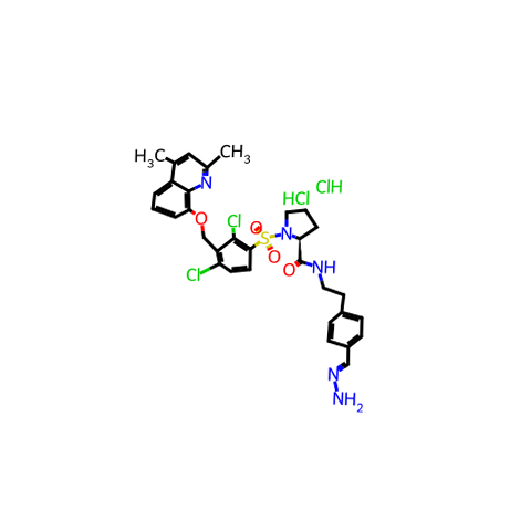 Cc1cc(C)c2cccc(OCc3c(Cl)ccc(S(=O)(=O)N4CCC[C@H]4C(=O)NCCc4ccc(C=NN)cc4)c3Cl)c2n1.Cl.Cl